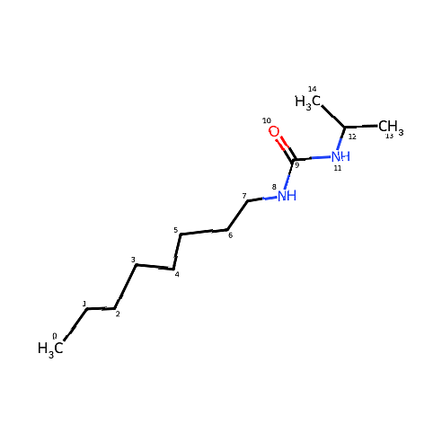 CCCCCCCCNC(=O)NC(C)C